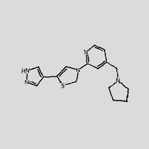 C1=C(c2cn[nH]c2)SCN1c1cc(CN2CCCC2)ccn1